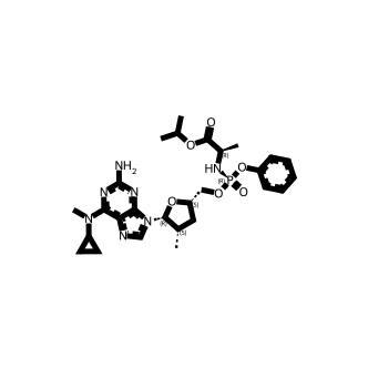 CC(C)OC(=O)[C@@H](C)N[P@@](=O)(OC[C@@H]1C[C@H](C)[C@H](n2cnc3c(N(C)C4CC4)nc(N)nc32)O1)Oc1ccccc1